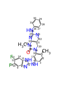 Cc1ccc(Nc2nc3cc(F)c(F)cc3[nH]2)cc1N1Cc2cnc(Nc3ccccc3)nc2N(C)C1=O